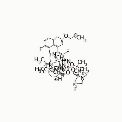 COCOc1cc(-c2ncc3c(N4[C@H]5CC[C@@H]4[C@@H](F)[C@H](NC(=O)OC(C)(C)C)C5)nc(OC[C@@]45CCCN4C[C@H](F)C5)nc3c2F)c2c(C#C[Si](C(C)C)(C(C)C)C(C)C)c(F)ccc2c1